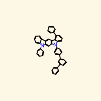 c1ccc(-c2cccc(-c3ccc(-n4c5cc6c(cc5c5c(-c7ccccc7)cccc54)c4ccccc4n6-c4ccccc4)cc3)c2)cc1